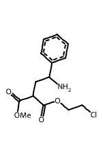 COC(=O)C(CC(N)c1ccccc1)C(=O)OCCCl